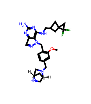 COc1cc(CN2C[C@@H]3C[C@H]2CN3)ccc1Cn1ncc2nc(N)nc(NCC3CC4(C3)CC4(F)F)c21